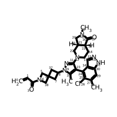 C=CC(=O)N1CC2(CC(n3nc(N4CC[C@H]5C(=O)N(C)C[C@H]5C4)c(-c4c(Cl)c(C)cc5[nH]ncc45)c3C)C2)C1